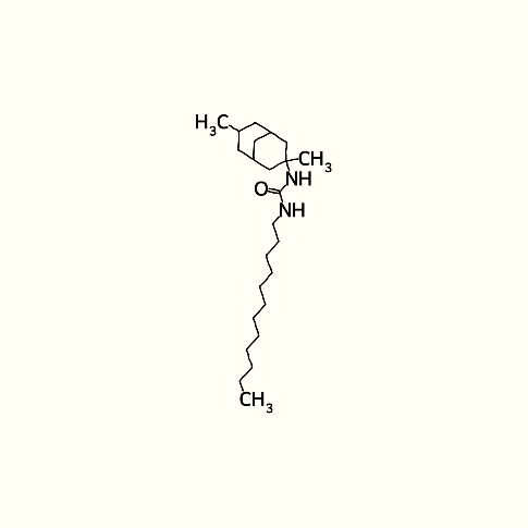 CCCCCCCCCCCCNC(=O)NC1(C)CC2CC(C)CC(C2)C1